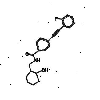 O=C(NCC1CCCCC1O)c1ccc(C#Cc2ccccc2F)cc1